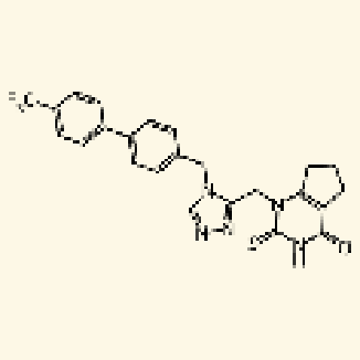 O=c1[nH]c(=S)n(Cc2nncn2Cc2ccc(-c3ccc(C(F)(F)F)cc3)cc2)c2c1CCC2